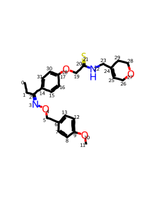 CCC(=NOCc1ccc(OC)cc1)c1ccc(OCC(=S)NCC2=CCOCC2)cc1